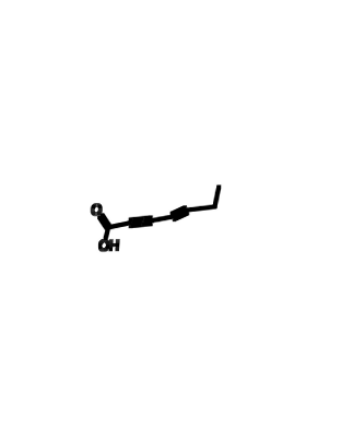 CCC#CC#CC(=O)O